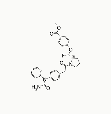 COC(=O)c1ccc(OC(F)[C@@H]2CCCN2C(=O)Cc2ccc(N(C(N)=O)c3ccccc3)cc2)cc1